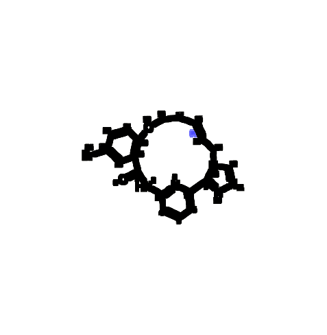 O=C1Nc2cccc(n2)-c2nncn2C/C=C/CCOc2ccc(Br)cc21